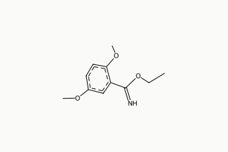 CCOC(=N)c1cc(OC)ccc1OC